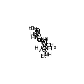 CCNCCC(=O)Nc1c(C)[nH]c(C=C2C(=O)Nc3cc(NC(=O)Nc4cc(C(C)(C)C)on4)ccc32)c1C